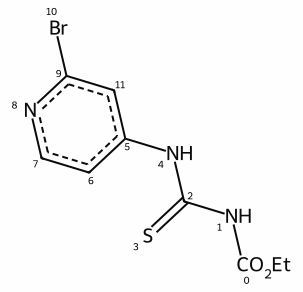 CCOC(=O)NC(=S)Nc1ccnc(Br)c1